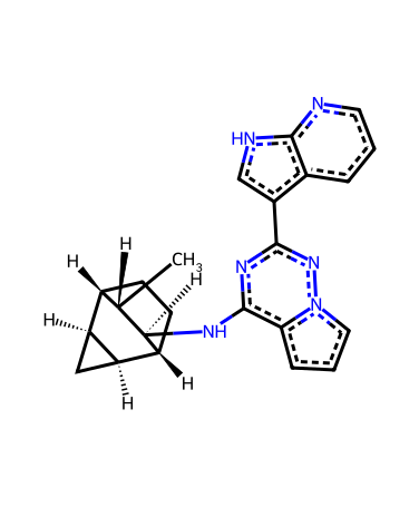 C[C@H]1[C@H]2CC[C@H]([C@H]3C[C@H]32)[C@@H]1Nc1nc(-c2c[nH]c3ncccc23)nn2cccc12